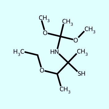 CCOC(C)C(C)(S)NC(C)(OC)OC